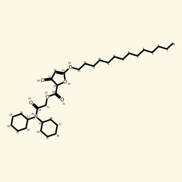 CCCCCCCCCCCCCCOC1=CC(=O)C(C(=O)OCC(=O)N(C2CCCCC2)C2CCCCC2)O1